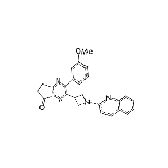 COc1cccc(-c2nc3c(nc2C2CN(c4ccc5ccccc5n4)C2)C(=O)CC3)c1